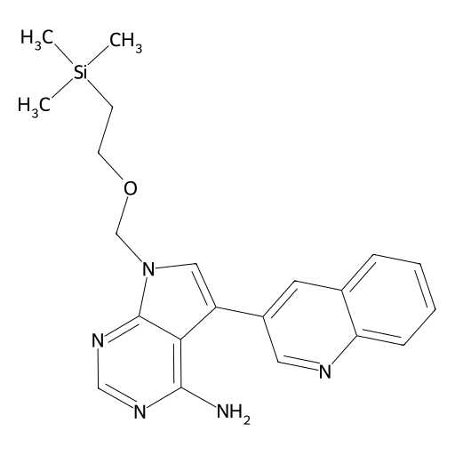 C[Si](C)(C)CCOCn1cc(-c2cnc3ccccc3c2)c2c(N)ncnc21